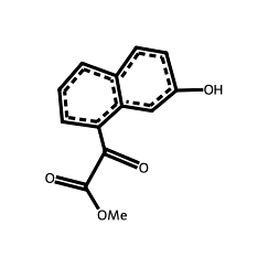 COC(=O)C(=O)c1cccc2ccc(O)cc12